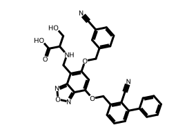 N#Cc1cccc(COc2cc(OCc3cccc(-c4ccccc4)c3C#N)c3nonc3c2CNC(CO)C(=O)O)c1